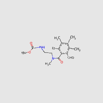 CCc1c(C)c(C)c(C)c(C=O)c1C(=O)N(C)CCNC(=O)OC(C)(C)C